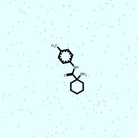 Cc1ccc(NC(=O)C2(N)CCCCC2)cc1